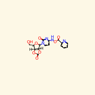 O=C1O[C@@H]2[C@H](O1)[C@@H](CO)O[C@H]2n1ccc(NOC(=O)c2ccccn2)nc1=O